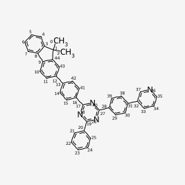 CC1(C)c2ccccc2-c2ccc(-c3ccc(-c4nc(-c5ccccc5)nc(-c5ccc(-c6cccnc6)cc5)n4)cc3)cc21